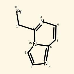 CC(C)Cc1nccc2nccn12